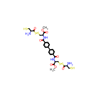 COC(=O)C(CSSC(=O)[C@@H](N)CS)NC(=O)c1ccc(-c2ccc(C(=O)NC(CSSC(=O)[C@@H](N)CS)C(=O)OC)cc2)cc1